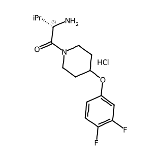 CC(C)[C@H](N)C(=O)N1CCC(Oc2ccc(F)c(F)c2)CC1.Cl